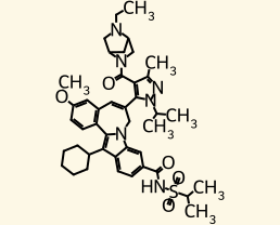 CCN1CC2CC1CN2C(=O)c1c(C)nn(C(C)C)c1C1=Cc2cc(OC)ccc2-c2c(C3CCCCC3)c3ccc(C(=O)NS(=O)(=O)C(C)C)cc3n2C1